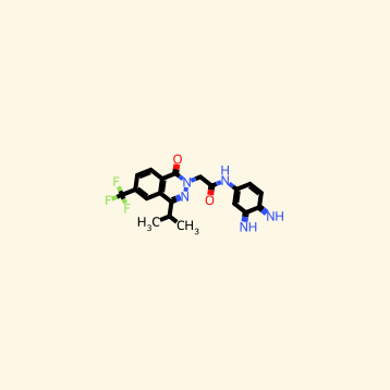 CC(C)c1nn(CC(=O)NC2=CC(=N)C(=N)C=C2)c(=O)c2ccc(C(F)(F)F)cc12